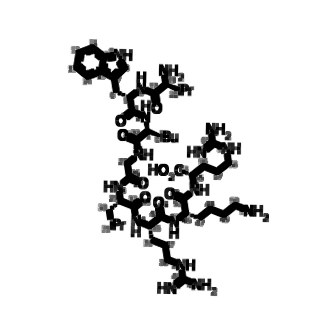 CC[C@H](C)[C@H](NC(=O)[C@H](Cc1c[nH]c2ccccc12)NC(=O)[C@@H](N)C(C)C)C(=O)NCC(=O)N[C@@H](CC(C)C)C(=O)N[C@@H](CCCNC(=N)N)C(=O)N[C@@H](CCCCN)C(=O)N[C@@H](CCCNC(=N)N)C(=O)O